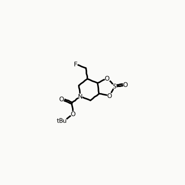 CC(C)(C)OC(=O)N1CC(CF)C2OS(=O)OC2C1